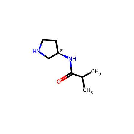 CC(C)C(=O)N[C@@H]1CCNC1